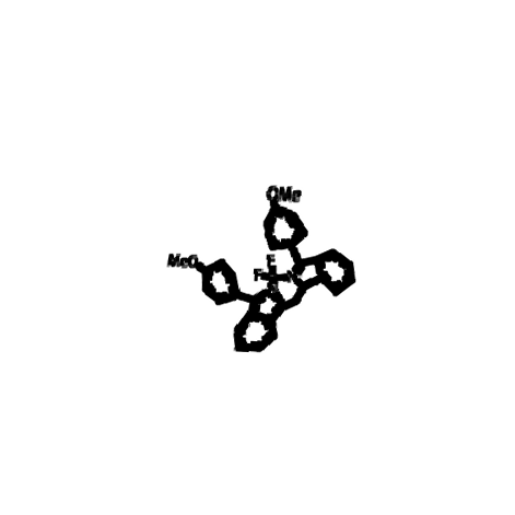 COc1ccc(C2=[N+]3C(Cc4c5ccccc5c(-c5ccc(OC)cc5)n4[B-]3(F)F)c3ccccc32)cc1